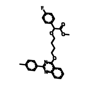 COC(=O)C(OCCCCOc1nc(-c2ccc(C)cc2)nc2ccccc12)c1ccc(F)cc1